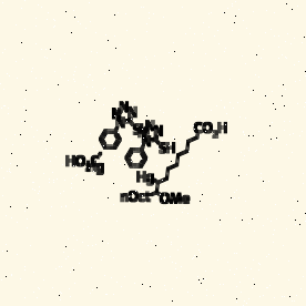 CC(=O)O.CCCCCCCCC(OC)[CH]([Hg])CCCCCCCC(=O)O.Sc1nnnn1-c1ccccc1.Sc1nnnn1-c1ccccc1.[Hg]